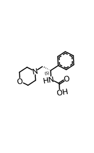 O=C(O)N[C@H](CN1CCOCC1)c1ccccc1